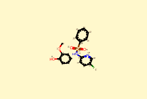 COc1ccccc1O.O=S(=O)(Nc1ccc(F)cn1)c1ccccc1